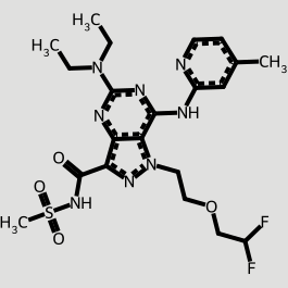 CCN(CC)c1nc(Nc2cc(C)ccn2)c2c(n1)c(C(=O)NS(C)(=O)=O)nn2CCOCC(F)F